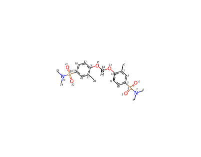 Cc1cc(S(=O)(=O)N(C)C)ccc1OBOc1ccc(S(=O)(=O)N(C)C)cc1C